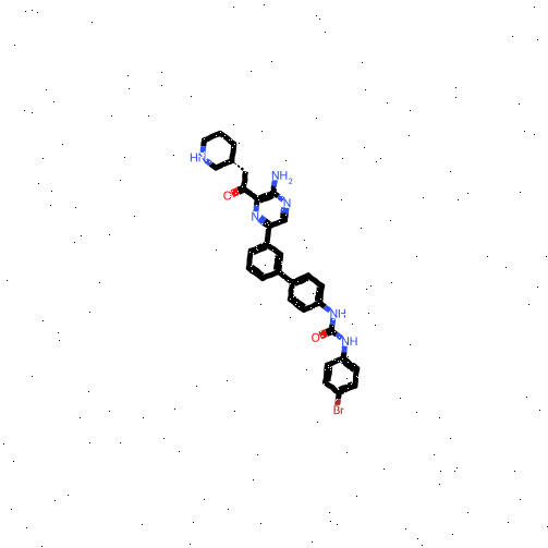 Nc1ncc(-c2cccc(-c3ccc(NC(=O)Nc4ccc(Br)cc4)cc3)c2)nc1C(=O)C[C@H]1CCCNC1